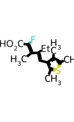 CCC(=Cc1c(C)sc(C)c1C)C(C)=C(F)C(=O)O